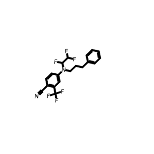 N#Cc1ccc(N(CCCc2ccccc2)C(F)C(F)F)cc1C(F)(F)F